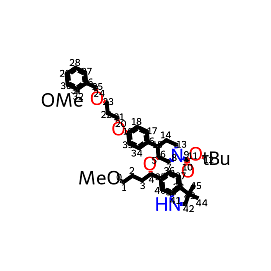 COCCCC(OC1CN(C(=O)OC(C)(C)C)CCC1c1ccc(OCCCOCc2ccccc2OC)cc1)c1ccc2c(c1)NCC2(C)C